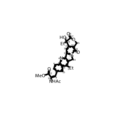 CCc1c2c(nc3ccc(C=C(NC(C)=O)C(=O)OC)cc13)-c1cc3c(c(=O)n1C2)COC(=O)C3(O)CC